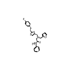 O=C(CN(Cc1csc(CCc2ccc(F)cc2)n1)Cc1ccco1)Nc1ccccc1